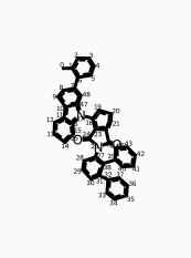 Cc1ccccc1-c1ccc2c3ccccc3n(-c3cccc4c3C(=O)N(c3cccc(-c5ccccc5)c3-c3ccccc3)C4=O)c2c1